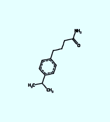 CC(C)c1ccc(CCCC(N)=O)cc1